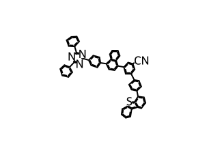 N#Cc1cc(-c2ccc(-c3cccc4c3sc3ccccc34)cc2)cc(-c2ccc(-c3ccc(-c4nc(-c5ccccc5)nc(-c5ccccc5)n4)cc3)c3ccccc23)c1